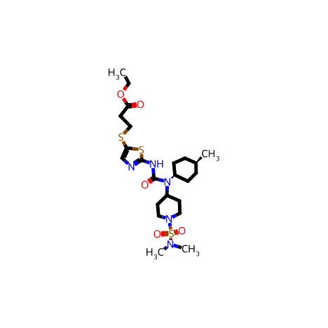 CCOC(=O)CCSc1cnc(NC(=O)N(C2CCN(S(=O)(=O)N(C)C)CC2)[C@H]2CC[C@H](C)CC2)s1